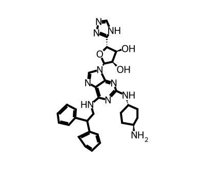 N[C@H]1CC[C@H](Nc2nc(NCC(c3ccccc3)c3ccccc3)c3ncn([C@@H]4O[C@H](c5nnc[nH]5)[C@@H](O)[C@H]4O)c3n2)CC1